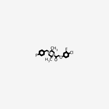 C[C@@H]1CN(C(=O)COc2ccc(Cl)c(F)c2)[C@@H](C)CN1Cc1ccc(F)cc1